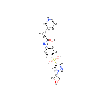 O=C(Nc1ccc(S(=O)(=O)c2cnn(C3COC3)c2)cc1)C1CC1c1cccnc1